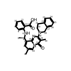 Cc1cc([C@@H](C)Nc2ccccc2C(=O)O)c2nc(N3CCc4ccccc4C3)c(C)c(=O)n2c1